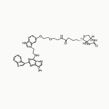 CC(C)n1cnc2c(NCCc3c[nH]c4ccc(OCCOCCNC(=O)CCCC[C@@H]5SC[C@@H]6NC(=O)N[C@@H]65)cc34)nc(-c3csc4ccccc34)nc21